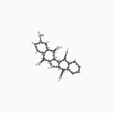 O=c1c2ccccc2c(=O)c2c1sc1c(=O)c3ccc(O)cc3c(=O)c12